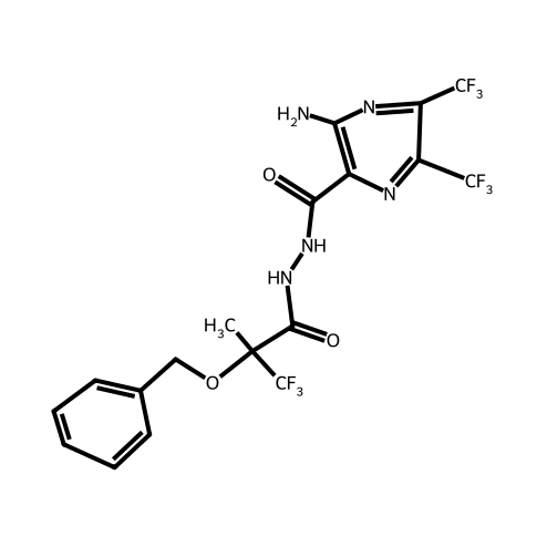 CC(OCc1ccccc1)(C(=O)NNC(=O)c1nc(C(F)(F)F)c(C(F)(F)F)nc1N)C(F)(F)F